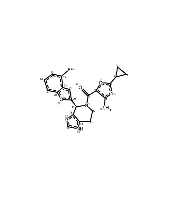 Cc1nc(C2CC2)oc1C(=O)N1CCc2[nH]cnc2[C@H]1c1cc2c(F)cccc2o1